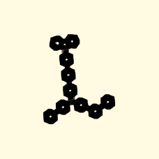 C1=CC2c3ccccc3N(c3ccc(-c4ccc(-c5ccc(N(c6ccc(-c7ccccc7)cc6)c6ccc(-c7cccc(-c8ccccc8)c7)cc6)cc5)cc4)cc3)C2C=C1